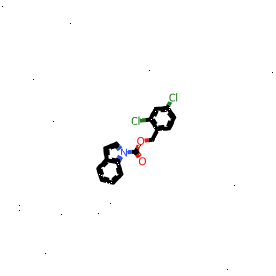 O=C(OCc1ccc(Cl)cc1Cl)n1ccc2ccccc21